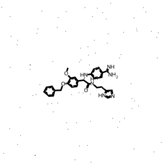 COc1cc([C@H](Nc2ccc(C(=N)N)cc2)C(=O)NCCc2cnc[nH]2)ccc1OCc1ccccc1